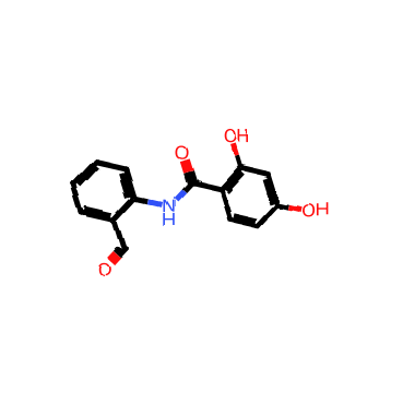 O=Cc1ccccc1NC(=O)c1ccc(O)cc1O